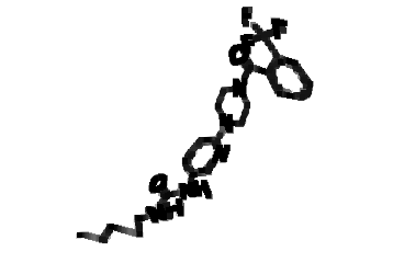 CCCCCNC(=O)Nc1ccc(N2CCN(C(=O)c3ccccc3C(F)(F)F)CC2)nc1